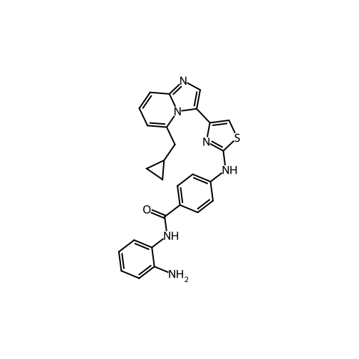 Nc1ccccc1NC(=O)c1ccc(Nc2nc(-c3cnc4cccc(CC5CC5)n34)cs2)cc1